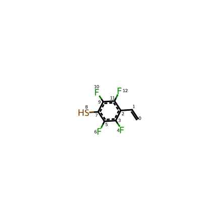 C=Cc1c(F)c(F)c(S)c(F)c1F